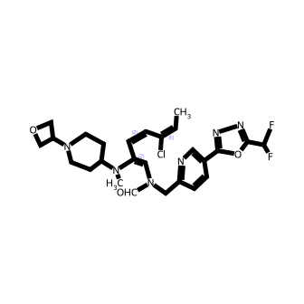 C\C=C(Cl)/C=C\C(=C\N(C=O)Cc1ccc(-c2nnc(C(F)F)o2)cn1)N(C)C1CCN(C2COC2)CC1